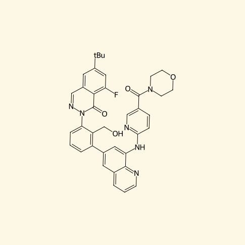 CC(C)(C)c1cc(F)c2c(=O)n(-c3cccc(-c4cc(Nc5ccc(C(=O)N6CCOCC6)cn5)c5ncccc5c4)c3CO)ncc2c1